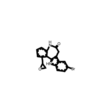 O=C1Cc2c([nH]c3ccc(Br)cc23)-c2c(cccc2C2CO2)N1